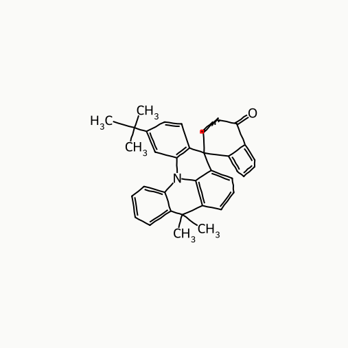 CC(C)(C)c1ccc2c(c1)N1c3ccccc3C(C)(C)c3cccc(c31)C21c2ccccc2C(=O)c2ccccc21